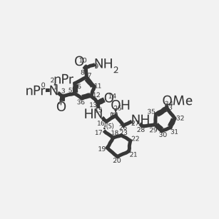 CCCN(CCC)C(=O)c1cc(C(N)=O)cc(C(=O)N[C@@H](CC2CCCCC2)[C@H](O)CNCc2cccc(OC)c2)c1